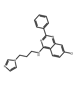 Clc1ccc2c(NCCCn3ccnc3)nc(-c3ccccc3)nc2c1